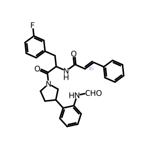 O=CNc1ccccc1C1CCN(C(=O)C(Cc2cccc(F)c2)NC(=O)/C=C/c2ccccc2)C1